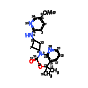 COc1ccc(NC2CC(N3C(=O)OC(C)(C)c4cccnc43)C2)nc1